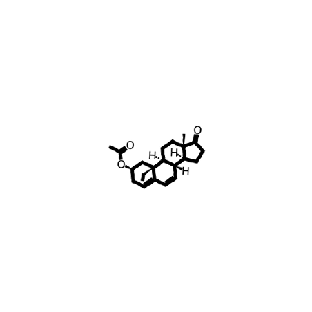 CC[C@]12C[C@H](OC(C)=O)CC=C1C=C[C@@H]1[C@@H]2CC[C@]2(C)C(=O)CC[C@@H]12